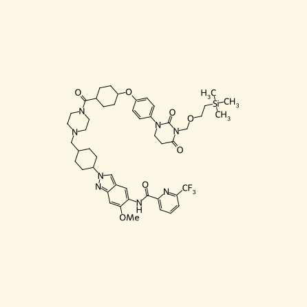 COc1cc2nn(C3CCC(CN4CCN(C(=O)C5CCC(Oc6ccc(N7CCC(=O)N(COCC[Si](C)(C)C)C7=O)cc6)CC5)CC4)CC3)cc2cc1NC(=O)c1cccc(C(F)(F)F)n1